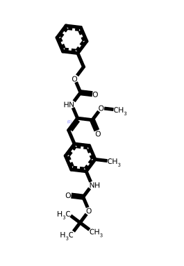 COC(=O)/C(=C\c1ccc(NC(=O)OC(C)(C)C)c(C)c1)NC(=O)OCc1ccccc1